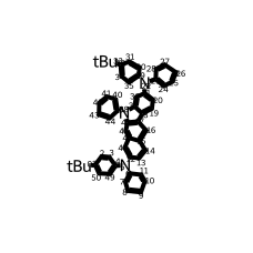 CC(C)(C)c1ccc(N(c2ccccc2)c2ccc3cc4c5ccc(N(c6ccccc6)c6ccc(C(C)(C)C)cc6)cc5n(-c5ccccc5)c4cc3c2)cc1